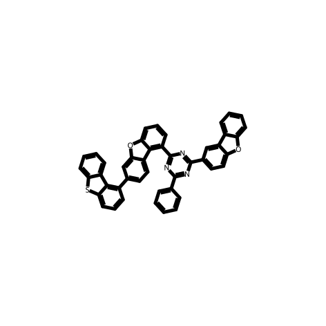 c1ccc(-c2nc(-c3ccc4oc5ccccc5c4c3)nc(-c3cccc4oc5cc(-c6cccc7sc8ccccc8c67)ccc5c34)n2)cc1